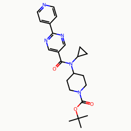 CC(C)(C)OC(=O)N1CCC(N(C(=O)c2cnc(-c3ccncc3)nc2)C2CC2)CC1